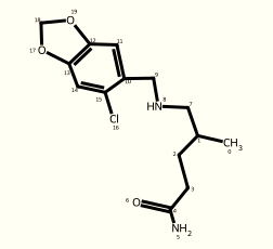 CC(CCC(N)=O)CNCc1cc2c(cc1Cl)OCO2